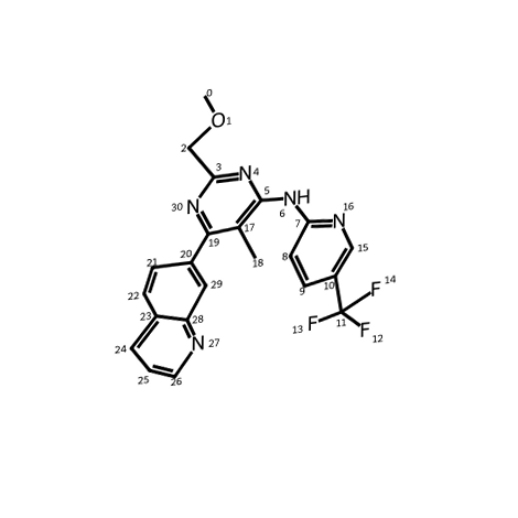 COCc1nc(Nc2ccc(C(F)(F)F)cn2)c(C)c(-c2ccc3cccnc3c2)n1